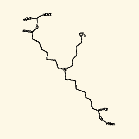 CCCCCCCCCOC(=O)CCCCCCCN(CCCCCCCC(=O)OC(CCCCCCCC)CCCCCCCC)CCCCCC(F)(F)F